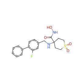 O=C(NO)C1(NCc2ccc(-c3ccccc3)c(F)c2)CCS(=O)(=O)CC1